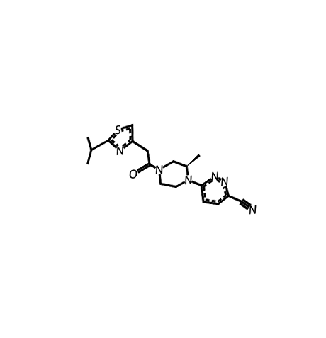 CC(C)c1nc(CC(=O)N2CCN(c3ccc(C#N)nn3)[C@H](C)C2)cs1